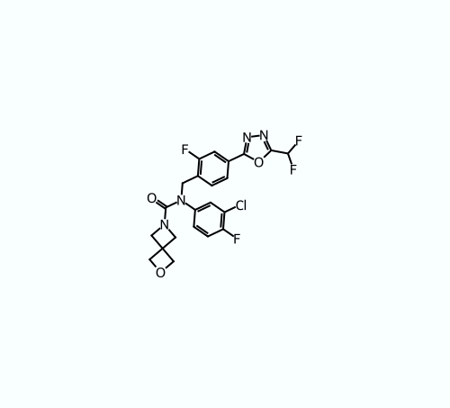 O=C(N1CC2(COC2)C1)N(Cc1ccc(-c2nnc(C(F)F)o2)cc1F)c1ccc(F)c(Cl)c1